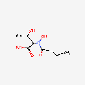 CCCC(=O)N(O)C(C(=O)O)C(C)O